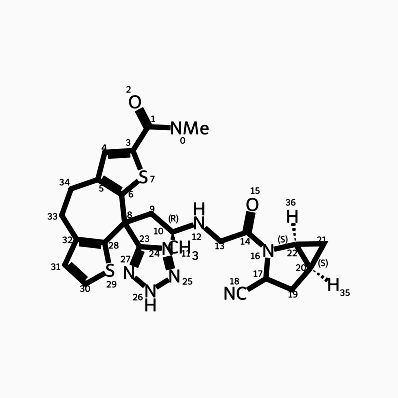 CNC(=O)c1cc2c(s1)C(C[C@@H](C)NCC(=O)N1C(C#N)C[C@@H]3C[C@@H]31)(c1nn[nH]n1)c1sccc1CC2